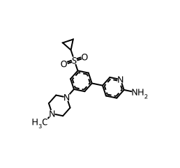 CN1CCN(c2cc(-c3ccc(N)nc3)cc(S(=O)(=O)C3CC3)c2)CC1